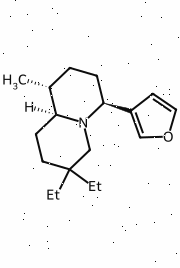 CCC1(CC)CC[C@H]2[C@H](C)CC[C@@H](c3ccoc3)N2C1